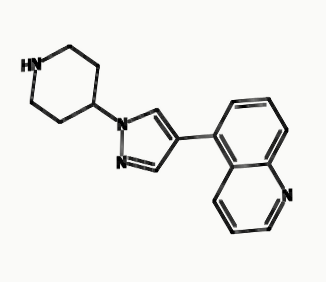 c1cc(-c2cnn(C3CCNCC3)c2)c2cccnc2c1